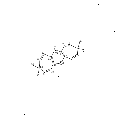 CC1(C)C=CC2=C(C=C1)SC1=C(C=CC(C)(C)C=C1)N2